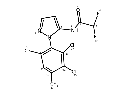 O=C(Nc1ccnn1-c1c(Cl)cc(C(F)(F)F)c(Cl)c1Cl)C(F)F